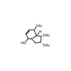 CC(=O)O[C@H]1[C@H]2[C@H](OC(C)=O)C=CC(O)N2C[C@H]1OC(C)=O